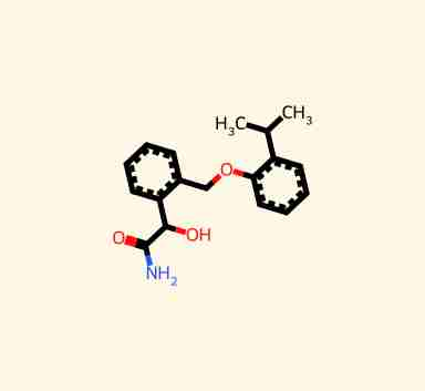 CC(C)c1ccccc1OCc1ccccc1C(O)C(N)=O